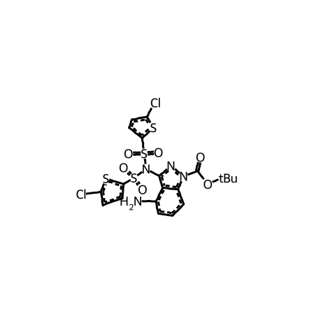 CC(C)(C)OC(=O)n1nc(N(S(=O)(=O)c2ccc(Cl)s2)S(=O)(=O)c2ccc(Cl)s2)c2c(N)cccc21